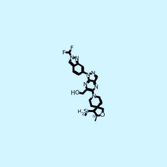 C[SiH2]C1[C@H](C)OCC12CCN(c1nc3cnn(-c4ccc5cn(C(F)F)nc5c4)c3nc1CO)CC2